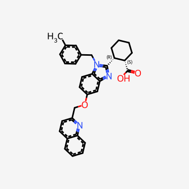 Cc1cccc(Cn2c([C@@H]3CCCC[C@@H]3C(=O)O)nc3cc(OCc4ccc5ccccc5n4)ccc32)c1